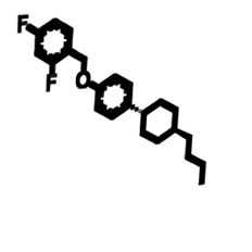 CCCC[C@H]1CC[C@H](c2ccc(OCc3ccc(F)cc3F)cc2)CC1